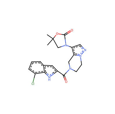 CC1(C)CN(c2cnn3c2CN(C(=O)c2cc4cccc(Cl)c4[nH]2)CC3)C(=O)O1